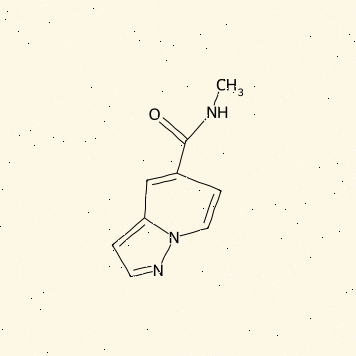 CNC(=O)c1ccn2nccc2c1